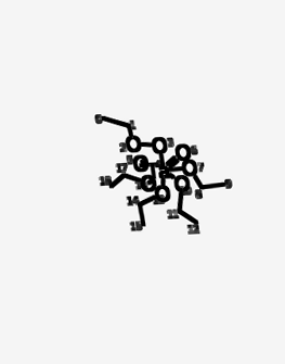 CCO[O][Ta](=[O])(=[O])([O]CC)([O]CC)([O]CC)[O]CC